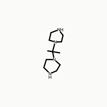 CC(C)(N1CCNCC1)N1CCNCC1